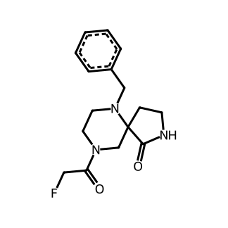 O=C(CF)N1CCN(Cc2ccccc2)C2(CCNC2=O)C1